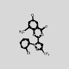 Cc1cc(Cl)cc2c(=O)oc(-c3cc(C(F)(F)F)nn3-c3ccccc3Cl)nc12